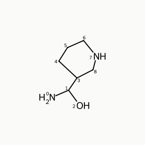 NC(O)C1CCCNC1